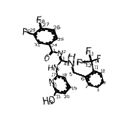 O=C(/N=C(/NCc1ccccc1C(F)(F)F)Nc1cccc(O)n1)c1ccc(F)c(F)c1